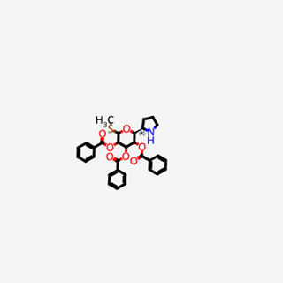 CSC1OC([C@H]2CCCN2)C(OC(=O)c2ccccc2)C(OC(=O)c2ccccc2)C1OC(=O)c1ccccc1